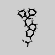 CC(=O)Oc1ccc2c3c(ccc2c1)OC(c1ccccc1)(c1ccccc1)C=C3